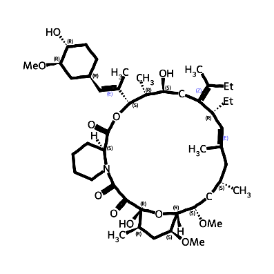 CC/C(C)=C1/C[C@H](O)[C@@H](C)[C@@H](/C(C)=C/[C@@H]2CC[C@@H](O)[C@H](OC)C2)OC(=O)[C@@H]2CCCCN2C(=O)C(=O)[C@]2(O)O[C@H]([C@@H](OC)C[C@@H](C)C/C(C)=C/[C@H]1CC)[C@@H](OC)C[C@H]2C